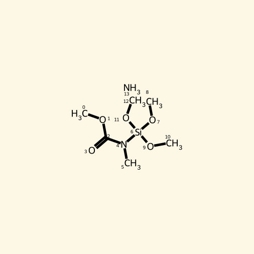 COC(=O)N(C)[Si](OC)(OC)OC.N